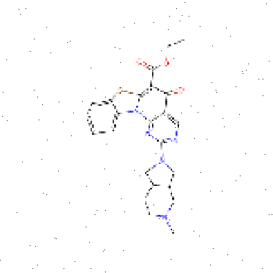 CCOC(=O)c1c(=O)c2cnc(N3CC4CCN(C)CC4C3)nc2n2c1sc1ccccc12